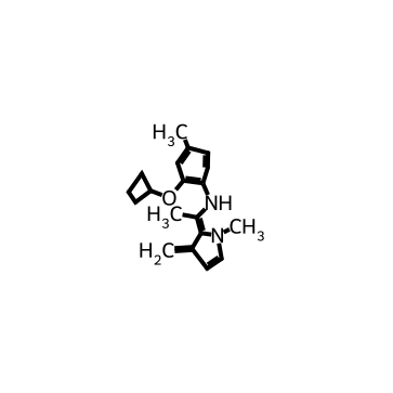 C=c1ccn(C)/c1=C(/C)Nc1ccc(C)cc1OC1CCC1